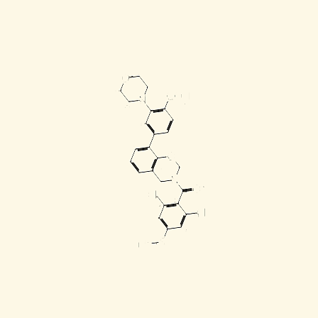 CC(C)Sc1cc(Cl)c(C(=O)N2COc3c(cccc3-c3ccc(C(=O)O)c(N4CCOCC4)c3)C2)c(Cl)c1